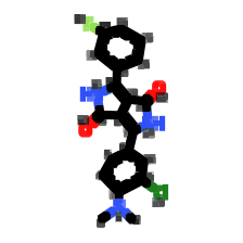 CN(C)c1ccc(C2=C3C(=O)NC(c4cccc(F)c4)=C3C(=O)N2)cc1Cl